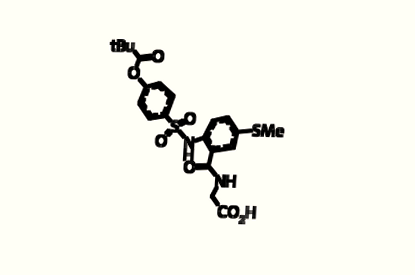 CSc1ccc(NS(=O)(=O)c2ccc(OC(=O)C(C)(C)C)cc2)c(C(=O)NCC(=O)O)c1